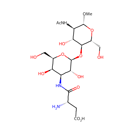 CO[C@@H]1O[C@H](CO)[C@@H](O[C@@H]2O[C@H](CO)[C@H](O)[C@H](NC(=O)[C@@H](N)CC(=O)O)[C@H]2O)[C@H](O)[C@H]1NC(C)=O